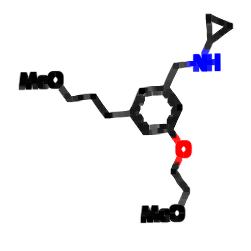 COCCCc1cc(CNC2CC2)cc(OCCOC)c1